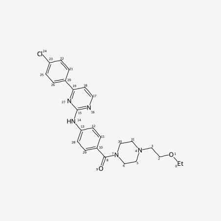 CCOCCN1CCN(C(=O)c2ccc(Nc3nccc(-c4ccc(Cl)cc4)n3)cc2)CC1